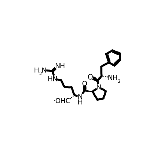 N=C(N)NCCC[C@@H]([C]=O)NC(=O)[C@@H]1CCCN1C(=O)[C@@H](N)Cc1ccccc1